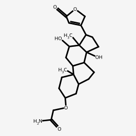 CC12CCC(OCC(N)=O)CC1CCC1C2CC(O)C2(C)C(C3=CC(=O)OC3)CCC12O